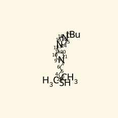 CC(C)(S)CCCCN1CCC(CN2CCN(C(C)(C)C)CC2)CC1